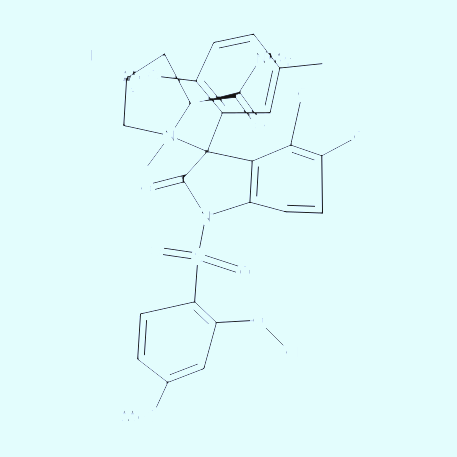 CNC(=O)[C@@H]1C[C@@H](F)C[N+]1(C)C1(c2cc(C)ccc2OC)C(=O)N(S(=O)(=O)c2ccc(OC)cc2OC(F)(F)F)c2ccc(Cl)c(Cl)c21